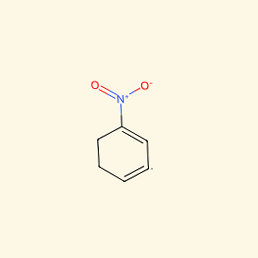 O=[N+]([O-])C1=C[C]=CCC1